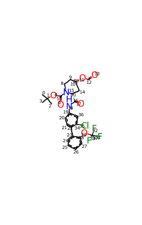 CC(C)(C)OC(=O)N1CC[C@@H](OC=O)C[C@@H]1C(=O)Nc1ccc(-c2ccccc2OC(F)(F)F)c(Cl)c1